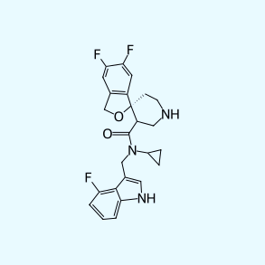 O=C(C1CNCC[C@@]12OCc1cc(F)c(F)cc12)N(Cc1c[nH]c2cccc(F)c12)C1CC1